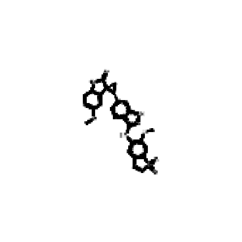 COC1=CCC2NC(=O)[C@@]3(C[C@H]3c3ccc4c(Nc5cc6c(cc5OC)S(=O)(=O)C=C6)n[nH]c4c3)C2=C1